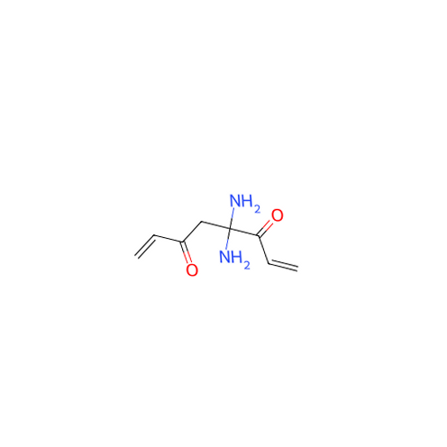 C=CC(=O)CC(N)(N)C(=O)C=C